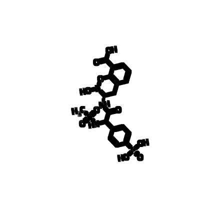 CS(=O)(=O)NC(C(=O)N[C@H]1Cc2cccc(C(=O)O)c2OB1O)c1ccc(P(=O)(O)O)cc1